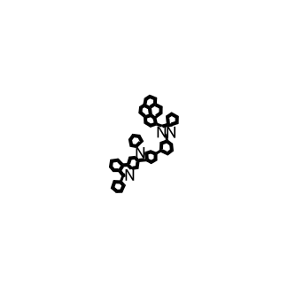 c1ccc(-c2nc3cc4c5ccc(-c6cccc(-c7nc(-c8ccc9ccc%10cccc%11ccc8c9c%10%11)c8ccccc8n7)c6)cc5n(-c5ccccc5)c4cc3c3ccccc23)cc1